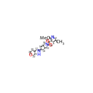 COc1ncc(C)cc1S(=O)(=O)N1CC2CC(NCC3CCOCC3)CC2C1